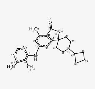 Cc1cc(Nc2ncnc(N)c2C)cc2c1C(=O)NC21CCN(C2CCC2)CC1